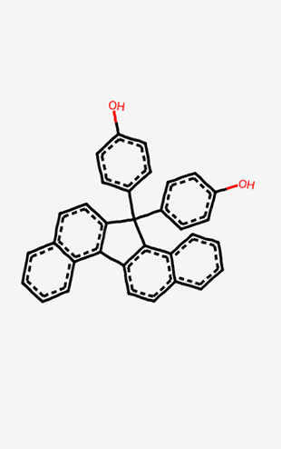 Oc1ccc(C2(c3ccc(O)cc3)c3ccc4ccccc4c3-c3ccc4ccccc4c32)cc1